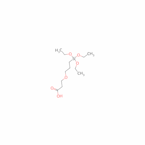 CCO[Si](CCCOCCC(=O)O)(OCC)OCC